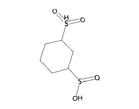 O=S(O)C1CCCC([SH](=O)=O)C1